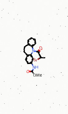 COC(=O)Nc1ccc2c(c1)N(C(=O)C(C)Br)c1ccccc1CC2